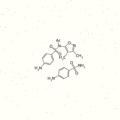 CC(=O)N(c1onc(C)c1C)S(=O)(=O)c1ccc(N)cc1.Nc1ccc(S(N)(=O)=O)cc1